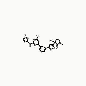 [2H]c1cc(-c2cccc(-c3cc([C@]4(O)CCN(C)C4=O)on3)n2)nc(Nc2ccn(C)n2)n1